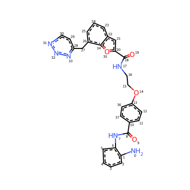 Nc1ccccc1NC(=O)c1ccc(OCCNC(=O)c2cc3cccc(Cc4ccnnn4)c3o2)cc1